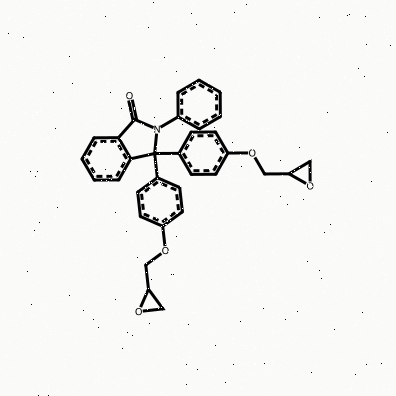 O=C1c2ccccc2C(c2ccc(OCC3CO3)cc2)(c2ccc(OCC3CO3)cc2)N1c1ccccc1